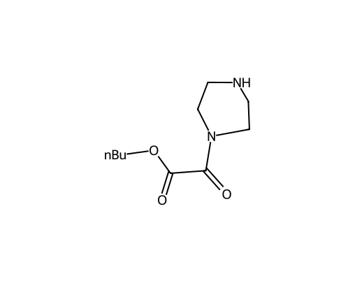 CCCCOC(=O)C(=O)N1CCNCC1